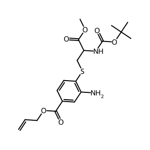 C=CCOC(=O)c1ccc(SCC(NC(=O)OC(C)(C)C)C(=O)OC)c(N)c1